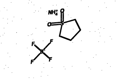 F[B-](F)(F)F.O=S1(=O)CCCC1.[NH4+]